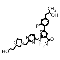 CC(O)Cc1ccc(-c2cc(C(N)=O)c(Nc3ccnc(CN4CCOC(CCO)C4)n3)s2)c(F)c1